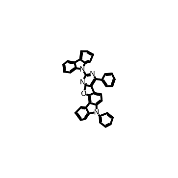 c1ccc(-c2nc(-n3c4ccccc4c4ccccc43)nc3oc4c(ccc5c4c4ccccc4n5-c4ccccc4)c23)cc1